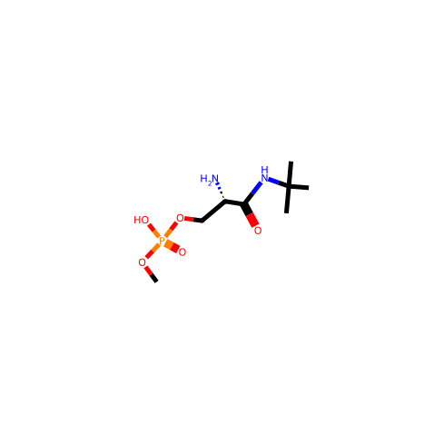 COP(=O)(O)OC[C@H](N)C(=O)NC(C)(C)C